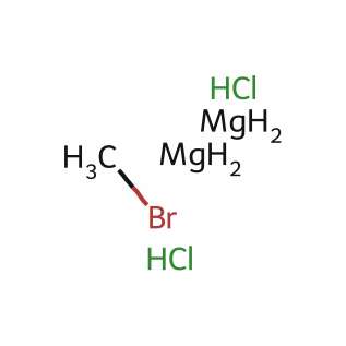 CBr.Cl.Cl.[MgH2].[MgH2]